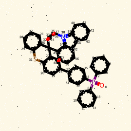 O=P(c1ccccc1)(c1ccccc1)c1ccc(-c2ccc3c(c2)C2(c4ccccc4S3)c3ccccc3-n3c4ccccc4c4cccc2c43)cc1